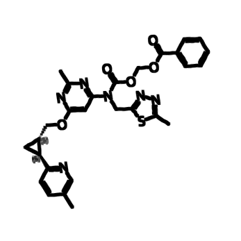 Cc1ccc([C@H]2C[C@@H]2COc2cc(N(Cc3nnc(C)s3)C(=O)OCOC(=O)c3ccccc3)nc(C)n2)nc1